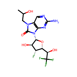 CC(O)Cn1c(=O)n([C@@H]2O[C@H]([C@@H](O)C(F)(F)F)[C@H](F)[C@H]2O)c2nc(N)ncc21